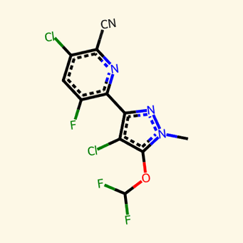 Cn1nc(-c2nc(C#N)c(Cl)cc2F)c(Cl)c1OC(F)F